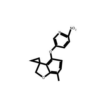 Cc1ccc(Oc2ccc([N+](=O)[O-])nc2)c2c1OCC21CC1